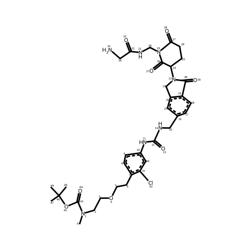 CN(CCOCCc1ccc(NC(=O)NCc2ccc3c(c2)CN(C2CCC(=O)N(CNC(=O)CN)C2=O)C3=O)cc1Cl)C(=O)OC(C)(C)C